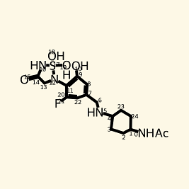 CC(=O)NC1CCC(NCc2cc(O)c(N3CC(=O)NS3(O)O)c(F)c2)CC1